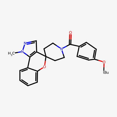 Cn1ncc2c1-c1ccccc1OC21CCN(C(=O)c2ccc(OC(C)(C)C)cc2)CC1